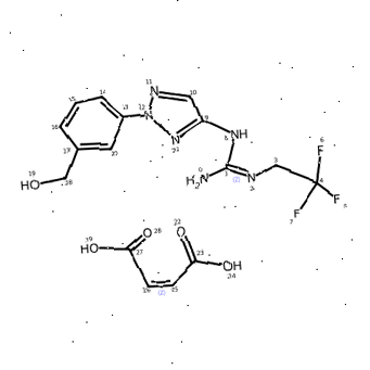 N/C(=N/CC(F)(F)F)Nc1cnn(-c2cccc(CO)c2)n1.O=C(O)/C=C\C(=O)O